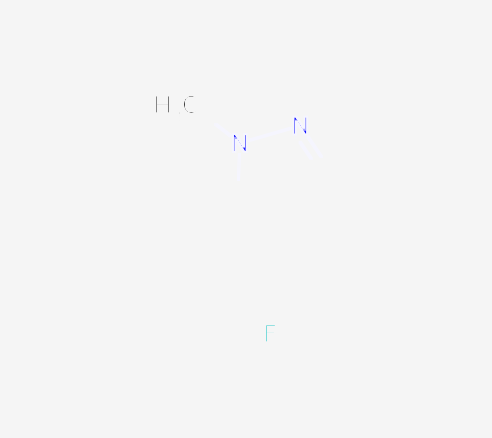 Cn1cc(CF)cn1